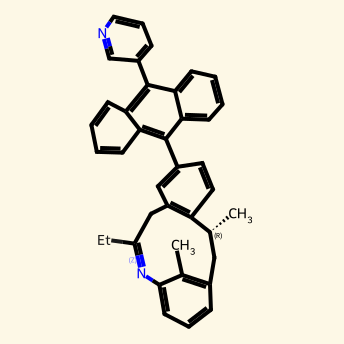 CC/C1=N/c2cccc(c2C)C[C@@H](C)c2ccc(-c3c4ccccc4c(-c4cccnc4)c4ccccc34)cc2C1